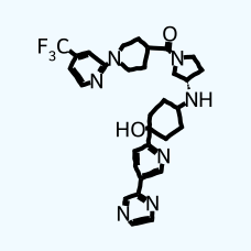 O=C(C1CCN(c2cc(C(F)(F)F)ccn2)CC1)N1CC[C@H](NC2CCC(O)(c3ccc(-c4cnccn4)cn3)CC2)C1